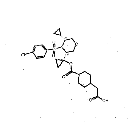 O=C(O)CC1CCN(C(=O)OC2([C@H]3COC[C@@H](C4CC4)N3S(=O)(=O)c3ccc(Cl)cc3)CC2)CC1